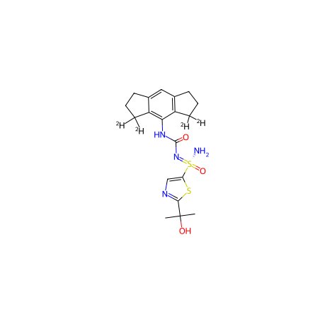 [2H]C1([2H])CCc2cc3c(c(NC(=O)N=[S@@](N)(=O)c4cnc(C(C)(C)O)s4)c21)C([2H])([2H])CC3